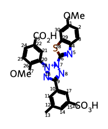 COc1ccc2nc(-n3nc(-c4cc(C)cc(S(=O)(=O)O)c4)n[n+]3-c3cc(C(=O)O)ccc3OC)sc2c1